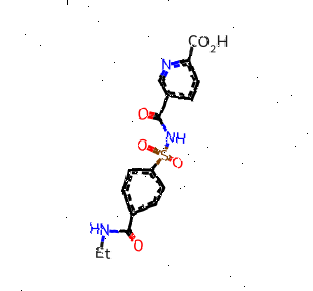 CCNC(=O)c1ccc(S(=O)(=O)NC(=O)c2ccc(C(=O)O)nc2)cc1